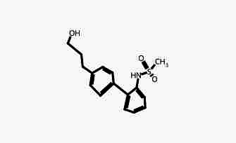 CS(=O)(=O)Nc1ccccc1-c1ccc(CCCO)cc1